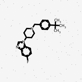 CC(C)(C)c1ccc(CN2CCC(n3cnc4cc(F)ccc43)CC2)cc1